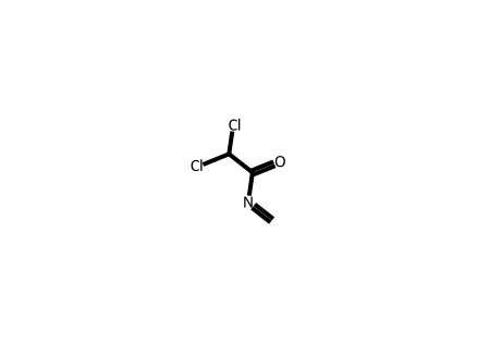 C=NC(=O)C(Cl)Cl